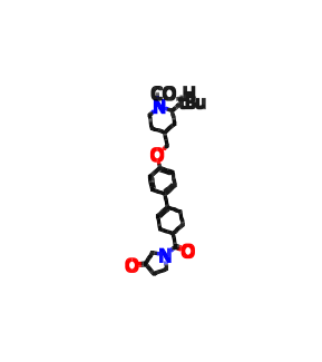 CC(C)(C)C1CC(COc2ccc(C3=CCC(C(=O)N4CCC(=O)C4)CC3)cc2)CCN1C(=O)O